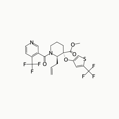 C=CC[C@H]1N(C(=O)c2cnccc2C(F)(F)F)CCC[C@@]1(Oc1csc(C(F)(F)F)c1)C(=O)OC